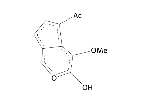 COc1c(O)occ2ccc(C(C)=O)c1-2